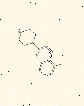 Cc1cccc2cc(N3CCNCC3)ccc12